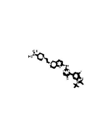 Cc1nc2c(F)cc(-c3nc(Nc4ccc5c(n4)CCN(CCN4CCC(B(O)O)CC4)C5)ncc3F)cc2n1C(C)(C)C